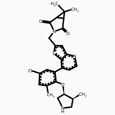 Cc1cc(Cl)cc(-c2ccnc3cc(CN4C(=O)C5C(C4=O)C5(C)C)sc23)c1O[C@@H]1CNC[C@@H]1C